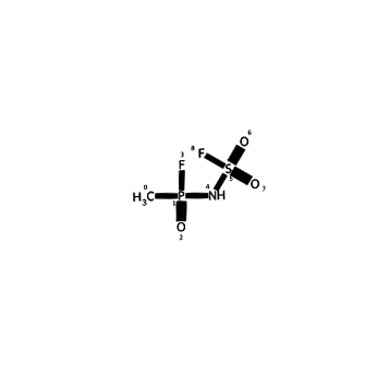 CP(=O)(F)NS(=O)(=O)F